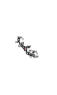 NCCN(C(=O)c1cc2ccc(-c3ccc(F)c(-c4cc(F)ccc4-c4ccc5cc(C(=O)NCCNC6CCC(N)CC6)[nH]c5c4)c3)cc2[nH]1)C1CCNCC1